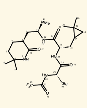 CN[C@H](C[C@@H]1CCC(C)(C)NC1=O)NC(=O)[C@H](CC1CC1(C)C)NC(=O)[C@@H](NC(=O)C(F)(F)F)C(C)(C)C